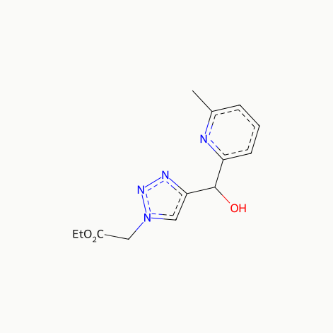 CCOC(=O)Cn1cc(C(O)c2cccc(C)n2)nn1